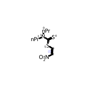 CCCN(CCC)C(=S)S/C=C\[N+](=O)[O-]